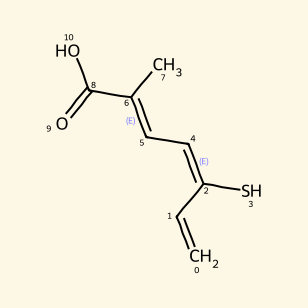 C=C/C(S)=C\C=C(/C)C(=O)O